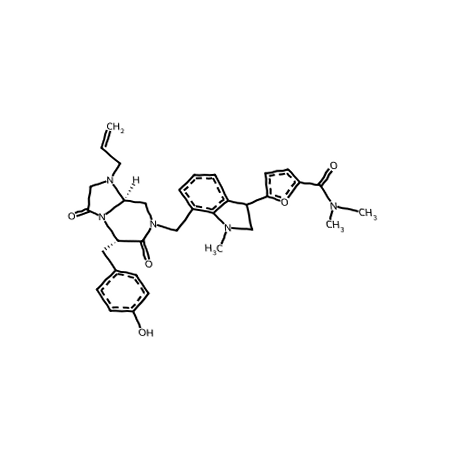 C=CCN1CC(=O)N2[C@@H]1CN(Cc1cccc3c1N(C)CC3c1ccc(C(=O)N(C)C)o1)C(=O)[C@@H]2Cc1ccc(O)cc1